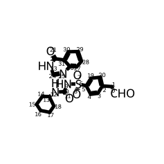 O=CCc1ccc(S(=O)(=O)NC(=O)NC2CCCCC2)cc1.O=c1[nH]cnc2ccccc12